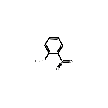 CCCCCc1ccccc1[SH](=O)=O